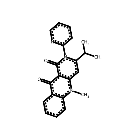 CC(C)c1cc2c(c(=O)c3ccccc3n2C)c(=O)n1-c1ccccn1